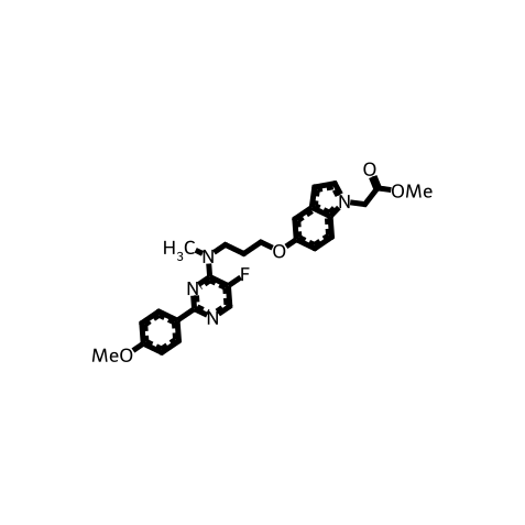 COC(=O)Cn1ccc2cc(OCCCN(C)c3nc(-c4ccc(OC)cc4)ncc3F)ccc21